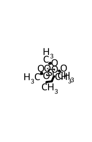 CCCC(C)[Si](OC(C)=O)(OC(C)=O)OC(C)=O